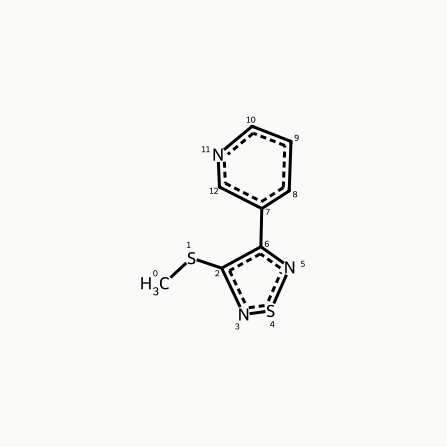 CSc1nsnc1-c1cccnc1